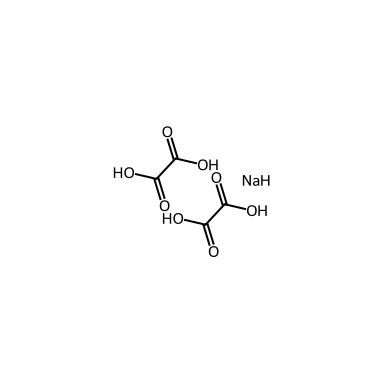 O=C(O)C(=O)O.O=C(O)C(=O)O.[NaH]